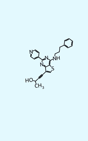 CC(O)C#Cc1csc2c(NCCCc3ccccc3)nc(-c3ccncc3)nc12